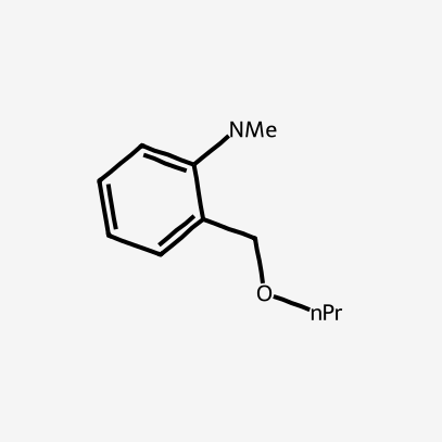 CCCOCc1ccccc1NC